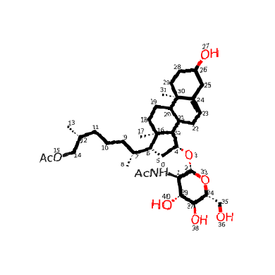 CC(=O)N[C@H]1[C@H](O[C@@H]2C[C@H]([C@H](C)CCC[C@@H](C)COC(C)=O)[C@@]3(C)CCC4C(CC=C5CC(O)CC[C@@]54C)C23)O[C@H](CO)[C@@H](O)[C@@H]1O